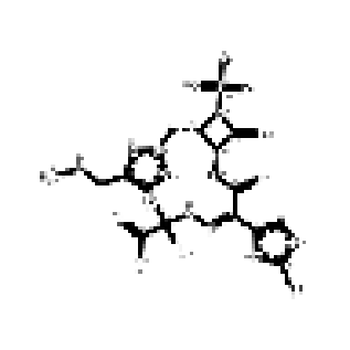 CNCc1cnn(C[C@H]2[C@H](NC(=O)C(=NOC(C)(C)C(=O)O)c3csc(N)n3)C(=O)N2S(=O)(=O)O)n1